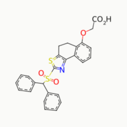 O=C(O)COc1cccc2c1CCc1sc(S(=O)(=O)C(c3ccccc3)c3ccccc3)nc1-2